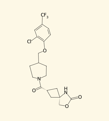 O=C1N[C@]2(CO1)C[C@@H](C(=O)N1CCC(COc3ccc(C(F)(F)F)cc3Cl)CC1)C2